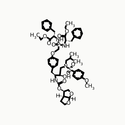 CCOC(=O)[C@H](Cc1ccccc1)NP(=O)(COc1ccc(C[C@H](NC(=O)O[C@H]2CO[C@H]3OCC[C@H]32)[C@H](O)CN(CC(C)C)S(=O)(=O)c2ccc(OC)cc2)cc1)N[C@@H](Cc1ccccc1)C(=O)OCC